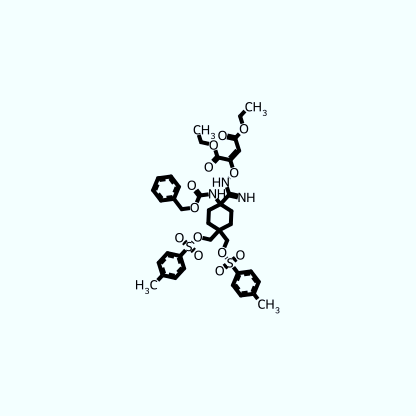 CCOC(=O)C=C(ONC(=N)C1(NC(=O)OCc2ccccc2)CCC(COS(=O)(=O)c2ccc(C)cc2)(COS(=O)(=O)c2ccc(C)cc2)CC1)C(=O)OCC